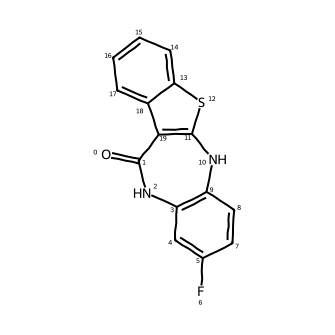 O=C1Nc2cc(F)ccc2Nc2sc3ccccc3c21